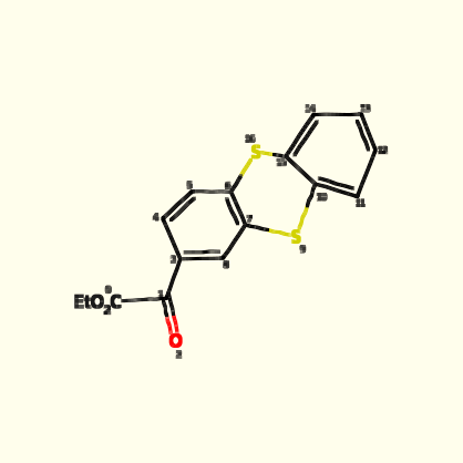 CCOC(=O)C(=O)c1ccc2c(c1)Sc1ccccc1S2